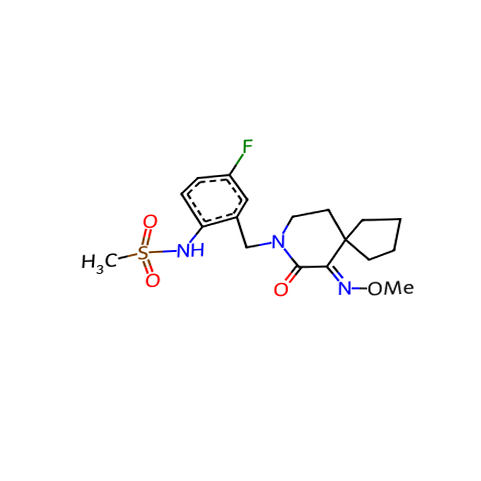 CO/N=C1/C(=O)N(Cc2cc(F)ccc2NS(C)(=O)=O)CCC12CCCC2